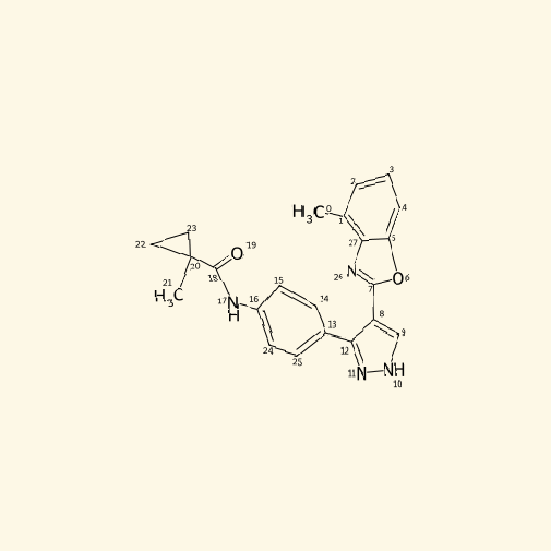 Cc1cccc2oc(-c3c[nH]nc3-c3ccc(NC(=O)C4(C)CC4)cc3)nc12